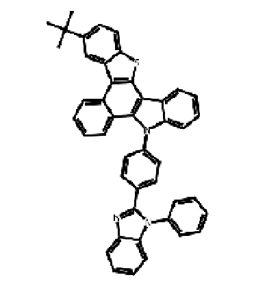 CC(C)(C)c1ccc2sc3c(c2c1)c1ccccc1c1c3c2ccccc2n1-c1ccc(-c2nc3ccccc3n2-c2ccccc2)cc1